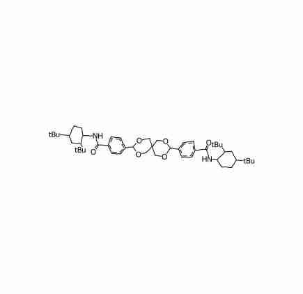 CC(C)(C)C1CCC(NC(=O)c2ccc(C3OCC4(CO3)COC(c3ccc(C(=O)NC5CCC(C(C)(C)C)CC5C(C)(C)C)cc3)OC4)cc2)C(C(C)(C)C)C1